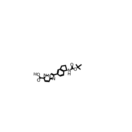 CC(C)(C)OC(=O)N[C@H]1CCc2cc(-c3cn4nc(C(=O)O)ccc4n3)ccc21